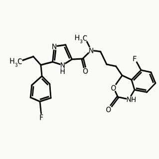 CCC(c1ccc(F)cc1)c1ncc(C(=O)N(C)CCCC2OC(=O)Nc3cccc(F)c32)[nH]1